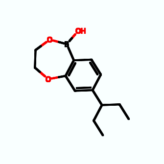 CCC(CC)c1ccc2c(c1)OCCOB2O